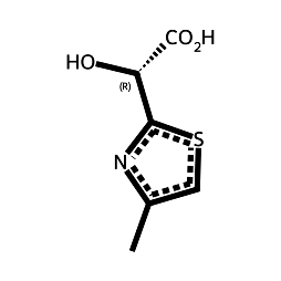 Cc1csc([C@H](O)C(=O)O)n1